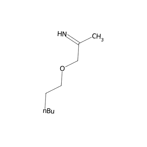 CCCCCCOCC(C)=N